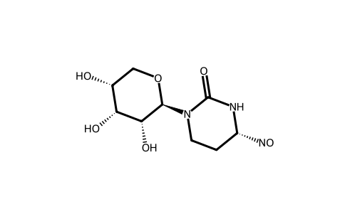 O=N[C@@H]1CCN([C@@H]2OC[C@@H](O)[C@@H](O)[C@H]2O)C(=O)N1